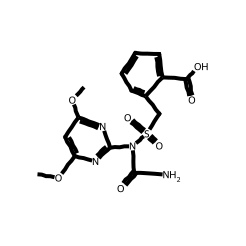 COc1cc(OC)nc(N(C(N)=O)S(=O)(=O)Cc2ccccc2C(=O)O)n1